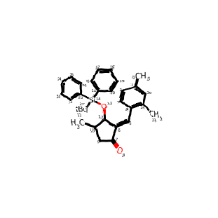 Cc1ccc(C=C2C(=O)CC(C)C2O[Si](c2ccccc2)(c2ccccc2)C(C)(C)C)c(C)c1